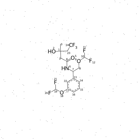 CC(O)(CC(=O)NC(COC(F)F)c1cccc(OC(F)F)c1)CC(F)(F)F